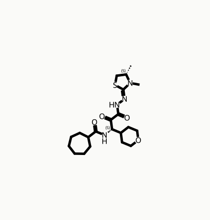 C[C@H]1CSC(=NNC(=O)C(=O)[C@@H](NC(=O)C2CCCCCC2)C2CCOCC2)N1C